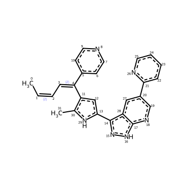 C/C=C\C=C(\c1ccncc1)c1cc(-c2n[nH]c3ncc(-c4ccccn4)cc23)[nH]c1C